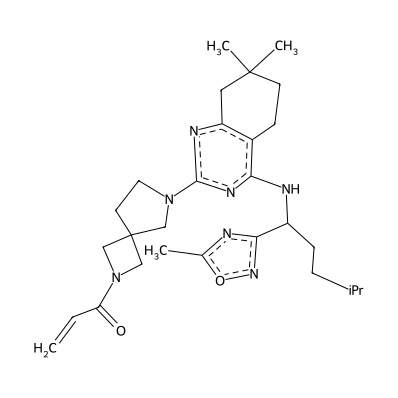 C=CC(=O)N1CC2(CCN(c3nc4c(c(NC(CCC(C)C)c5noc(C)n5)n3)CCC(C)(C)C4)C2)C1